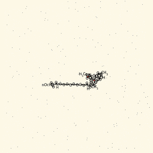 CCCCCCCCC1CC(=O)N(CCC(=O)NCCOCCOCCOCCOCCOCCOCCOCCOCCC(=O)NCC(=O)N[C@@H](C)C(=O)Nc2ccc(COC(=O)N3c4cc(OCCCOc5cc6c(cc5OC)C(=O)N5C=C(C)CC5C=N6)c(OC)cc4C(=O)N4C=C(C)C[C@H]4[C@@H]3O)cc2)C1=O